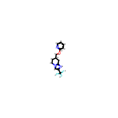 FC(F)(F)c1cn2c(n1)CC(COc1ccccn1)CC2